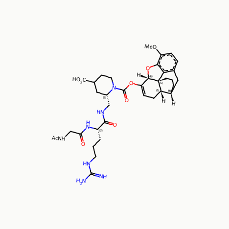 COc1ccc2c3c1O[C@H]1C(OC(=O)N4CCC(C(=O)O)C[C@H]4CNC(=O)[C@H](CCCNC(=N)N)NC(=O)CNC(C)=O)=CC[C@H]4[C@H](CCC[C@]314)C2